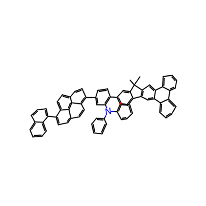 CC1(C)c2cc(-c3ccc(-c4ccc5ccc6c(-c7cccc8ccccc78)ccc7ccc4c5c76)cc3N(c3ccccc3)c3ccccc3)ccc2-c2cc3c4ccccc4c4ccccc4c3cc21